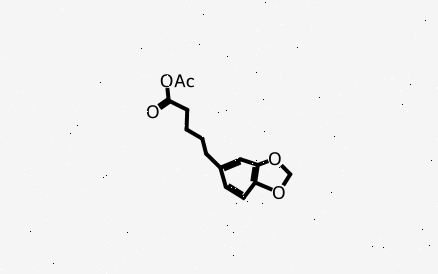 CC(=O)OC(=O)CCCCc1ccc2c(c1)OCO2